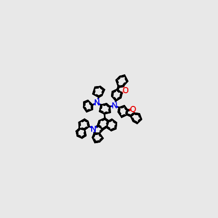 c1ccc(N(c2ccccc2)c2cc(-c3cc4c(c5ccccc35)c3ccccc3n4-c3cccc4ccccc34)cc(N(c3ccc4c(c3)oc3ccccc34)c3ccc4c(c3)oc3ccccc34)c2)cc1